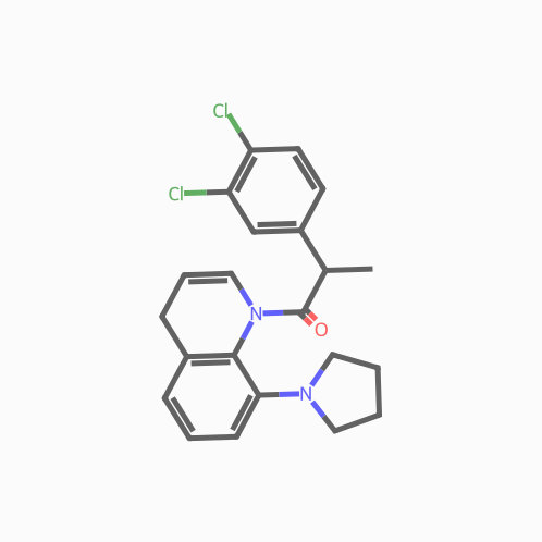 CC(C(=O)N1C=CCc2cccc(N3CCCC3)c21)c1ccc(Cl)c(Cl)c1